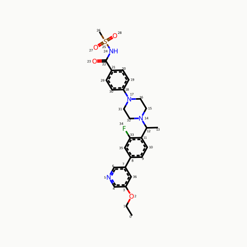 CCOc1cncc(-c2ccc(C(C)N3CCN(c4ccc(C(=O)NS(C)(=O)=O)cc4)CC3)c(F)c2)c1